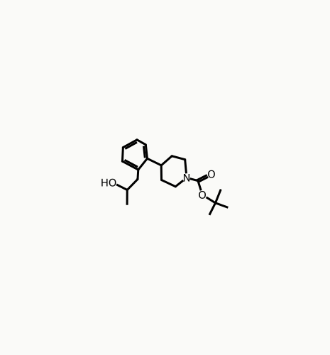 CC(O)Cc1ccccc1C1CCN(C(=O)OC(C)(C)C)CC1